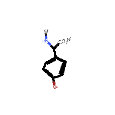 CCNC(C(=O)O)c1ccc(Br)cc1